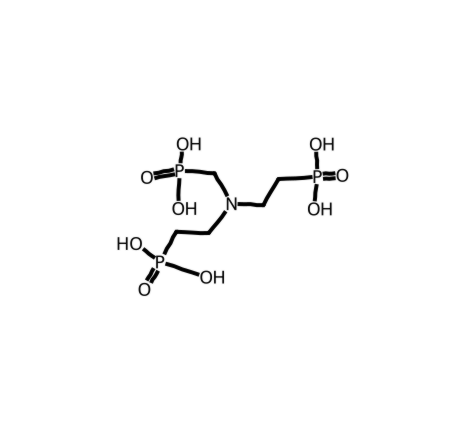 O=P(O)(O)CCN(CCP(=O)(O)O)CP(=O)(O)O